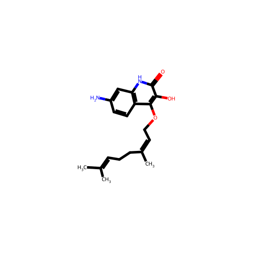 CC(C)=CCCC(C)=CCOc1c(O)c(=O)[nH]c2cc(N)ccc12